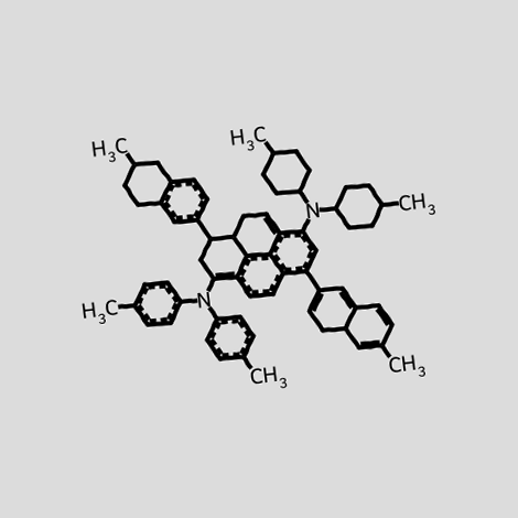 CC1=CC2CC=C(c3cc(N(C4CCC(C)CC4)C4CCC(C)CC4)c4c5c6c(ccc35)=C(N(c3ccc(C)cc3)c3ccc(C)cc3)CC(c3ccc5c(c3)CCC(C)C5)C6CC=4)C=C2C=C1